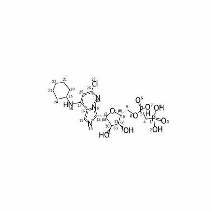 O=P(O)(O)CP(=O)(O)OC[C@H]1O[C@@H](c2ncc3c(NC4CCCCC4)cc(Cl)nn23)[C@H](O)[C@@H]1O